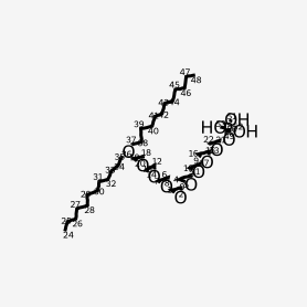 C1CO1.C1CO1.C1CO1.C1CO1.C1CO1.C1CO1.C1CO1.C1CO1.CCCCCCCCCCCCOCCCCCCCCCCCC.O=P(O)(O)O